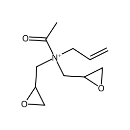 C=CC[N+](CC1CO1)(CC1CO1)C(C)=O